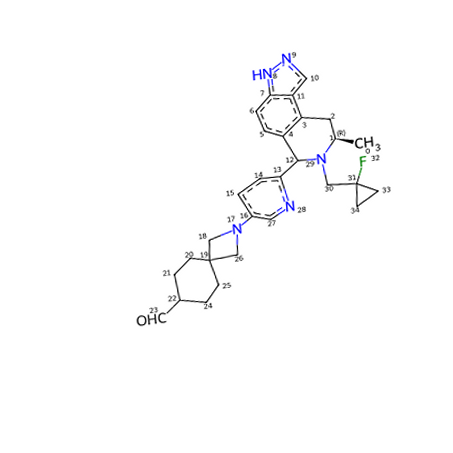 C[C@@H]1Cc2c(ccc3[nH]ncc23)C(c2ccc(N3CC4(CCC(C=O)CC4)C3)cn2)N1CC1(F)CC1